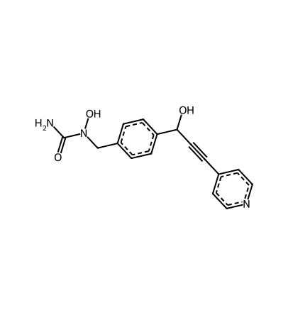 NC(=O)N(O)Cc1ccc(C(O)C#Cc2ccncc2)cc1